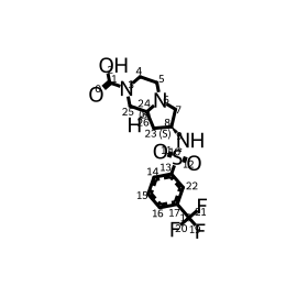 O=C(O)N1CCN2C[C@@H](NS(=O)(=O)c3cccc(C(F)(F)F)c3)C[C@H]2C1